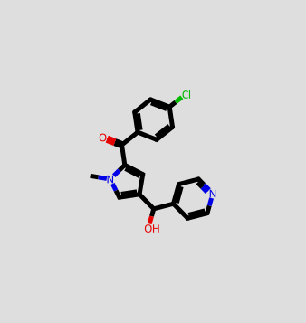 Cn1cc(C(O)c2ccncc2)cc1C(=O)c1ccc(Cl)cc1